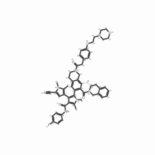 Cc1c(-c2c(C(=O)Nc3ccc(F)cc3)c(C)n(C)c2-c2cc3c(cc2C(=O)N2Cc4ccccc4C[C@H]2C)CN(C(=O)Cc2ccc(OCCN4CCOCC4)cc2)CC3)cc(C#N)n1C